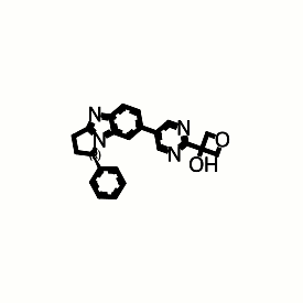 OC1(c2ncc(-c3ccc4nc5n(c4c3)[C@@H](c3ccccc3)CC5)cn2)COC1